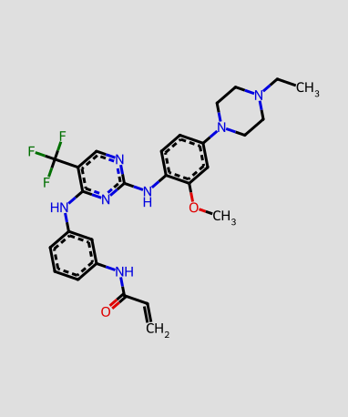 C=CC(=O)Nc1cccc(Nc2nc(Nc3ccc(N4CCN(CC)CC4)cc3OC)ncc2C(F)(F)F)c1